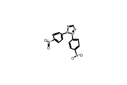 O=[N+]([O-])c1ccc(-n2ncn[n+]2-c2ccc([N+](=O)[O-])cc2)cc1